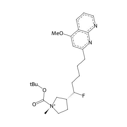 COc1cc(CCCCC(F)[C@@H]2CC[N@+](C)(C(=O)OC(C)(C)C)C2)nc2ncccc12